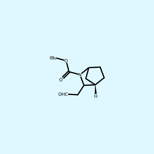 CC(C)(C)OC(=O)N1C2CC[C@@H](C2)C1CC=O